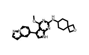 COc1nc(NC2CCC3(CC2)COC3)nc2[nH]cc(-c3ccn4nccc4c3)c12